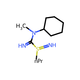 CCCS(=N)C(=N)N(C)C1CCCCC1